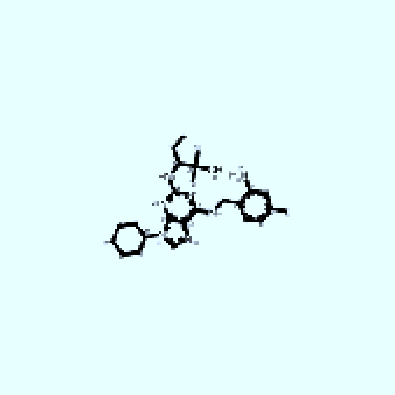 CCC(Nc1nc(NCc2ccc(C)cc2N)c2ncn(C3CCCCC3)c2n1)C(C)(C)O